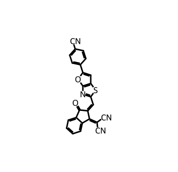 N#CC(C#N)=C1/C(=C/c2nc3oc(-c4ccc(C#N)cc4)cc3s2)C(=O)c2ccccc21